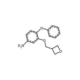 O=[N+]([O-])c1ccc(Oc2ccccc2)c(OCC2COC2)c1